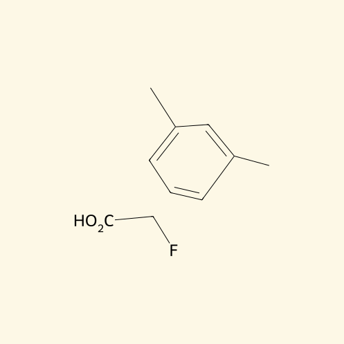 Cc1cccc(C)c1.O=C(O)CF